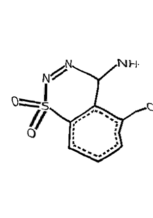 [NH]C1N=NS(=O)(=O)c2cccc(Cl)c21